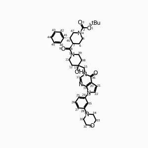 CC(C)(C)OC(=O)N1CC[C@@H](C(=O)N2CCC(O)(Cn3cnc4c(ccn4-c4cccc(N5CCOCC5)c4)c3=O)CC2)[C@H](c2ccccc2)C1